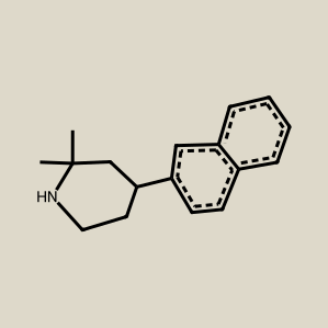 CC1(C)CC(c2ccc3ccccc3c2)CCN1